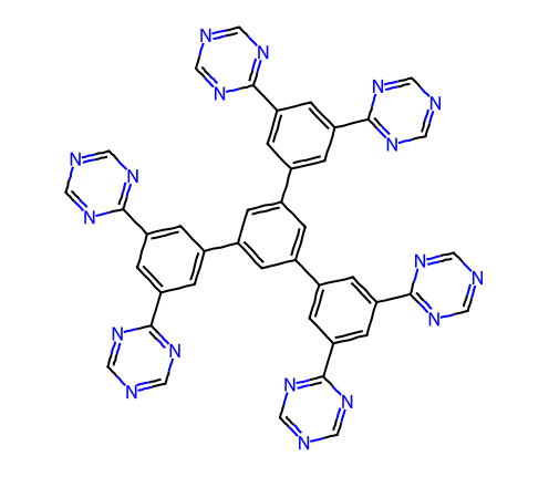 c1ncnc(-c2cc(-c3cc(-c4cc(-c5ncncn5)cc(-c5ncncn5)c4)cc(-c4cc(-c5ncncn5)cc(-c5ncncn5)c4)c3)cc(-c3ncncn3)c2)n1